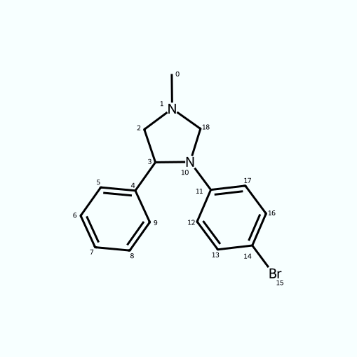 CN1CC(c2ccccc2)N(c2ccc(Br)cc2)C1